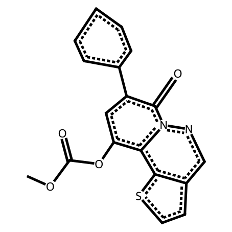 COC(=O)Oc1cc(-c2ccccc2)c(=O)n2ncc3ccsc3c12